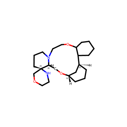 C1CCC2C(C1)OCCN1CCC[C@@]3(COCCN3)[C@@H]1CO[C@H]1CCC[C@H]2C1